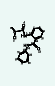 CC(Cl)C(=O)Nc1ccccc1C(=O)Nc1ccccc1